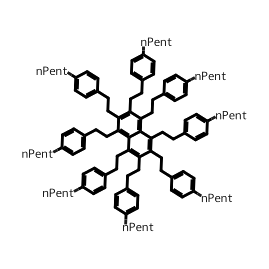 CCCCCc1ccc(CCc2c(CCc3ccc(CCCCC)cc3)c(CCc3ccc(CCCCC)cc3)c3c(CCc4ccc(CCCCC)cc4)c(CCc4ccc(CCCCC)cc4)c(CCc4ccc(CCCCC)cc4)c(CCc4ccc(CCCCC)cc4)c3c2CCc2ccc(CCCCC)cc2)cc1